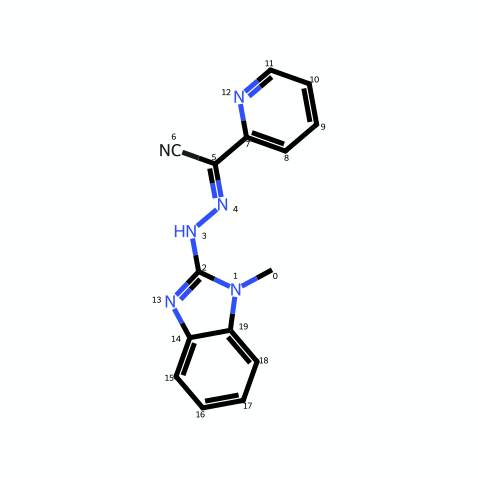 Cn1c(N/N=C(\C#N)c2ccccn2)nc2ccccc21